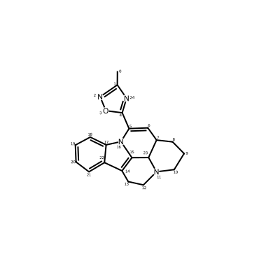 Cc1noc(C2=CC3CCCN4CCc5c(n2c2ccccc52)C34)n1